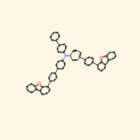 C1#CC(N(c2ccc(-c3ccccc3)cc2)c2ccc(-c3ccc(-c4cccc5c4oc4ccccc45)cc3)cc2)C=CC(c2ccc(-c3cccc4c3oc3ccccc34)cc2)=C1